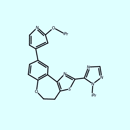 CC(C)Oc1cc(-c2ccc3c(c2)-c2nc(-c4ncnn4C(C)C)sc2CCO3)ccn1